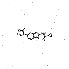 Cc1oncc1-c1ccn2nc(NC(=O)C3CC3)cc2c1